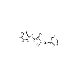 NC(COc1c[c]ccc1)C(=O)OCc1ccccc1